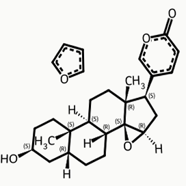 C[C@]12CC[C@H](O)C[C@H]1CC[C@@H]1[C@@H]2CC[C@]2(C)[C@@H](c3ccc(=O)oc3)C[C@H]3O[C@]132.c1ccoc1